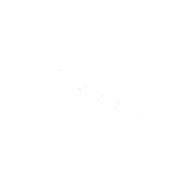 C=CC(=O)OCCCCOc1ccc(C(=O)Oc2ccc(C(=O)Oc3ccc(SCC(C)C)cc3)cc2)cc1